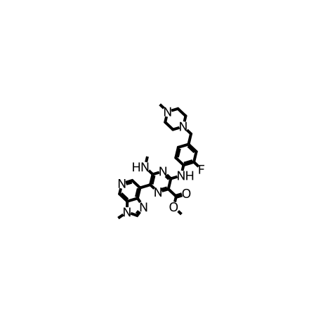 CNc1nc(Nc2ccc(CN3CCN(C)CC3)cc2F)c(C(=O)OC)nc1-c1cncc2c1ncn2C